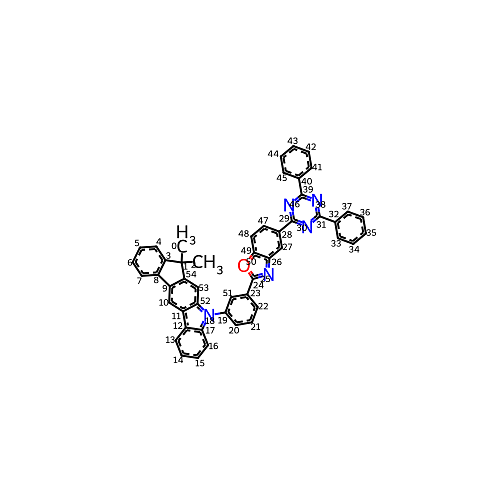 CC1(C)c2ccccc2-c2cc3c4ccccc4n(-c4cccc(-c5nc6cc(-c7nc(-c8ccccc8)nc(-c8ccccc8)n7)ccc6o5)c4)c3cc21